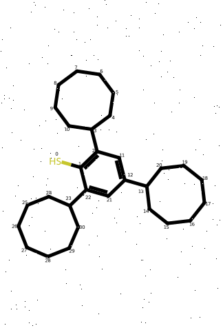 Sc1c(C2CCCCCCC2)cc(C2CCCCCCC2)cc1C1CCCCCCC1